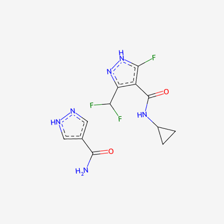 NC(=O)c1cn[nH]c1.O=C(NC1CC1)c1c(C(F)F)n[nH]c1F